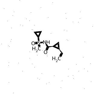 C=C[C@@H]1C[C@@H]1C(=O)NS(=C)(=O)C1CC1